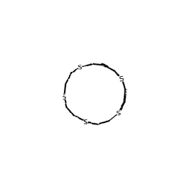 C1CSCCSCCSCCSCCSC1